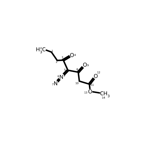 CCCC(=O)C(=[N+]=[N-])C(=O)CC(=O)OC